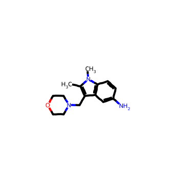 Cc1c(CN2CCOCC2)c2cc(N)ccc2n1C